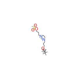 CC(C)(C)[Si](C)(C)OCCCN1CCN(CCCOS(C)(=O)=O)C1